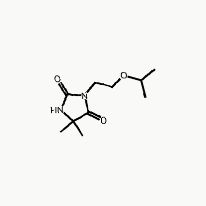 CC(C)OCCN1C(=O)NC(C)(C)C1=O